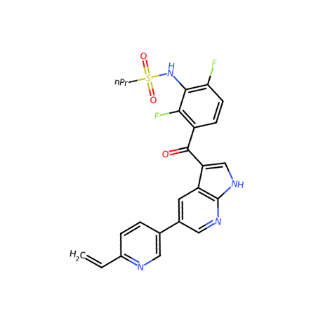 C=Cc1ccc(-c2cnc3[nH]cc(C(=O)c4ccc(F)c(NS(=O)(=O)CCC)c4F)c3c2)cn1